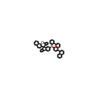 c1ccc(-c2ccccc2N(c2ccc(-c3cccc4ccccc34)cc2)c2ccc3c(c2)C2(c4ccccc4Oc4c2ccc2ccccc42)c2ccccc2-3)cc1